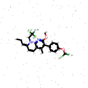 CC/C=C(/C=C\c1cnc(OC)c(-c2ccc(OC(F)F)cc2)c1C)NCC(F)(F)F